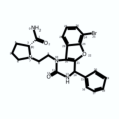 NC(=O)[C@H]1CCCN1CCN1C(=O)NC(c2ccccc2)c2oc3c(Br)cccc3c21